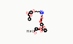 COC(=O)c1cccc(COc2c(-c3ccc(OCCOCCn4cc(CCCCOc5ccc6c(=O)cc(-c7ccccc7)oc6c5)nn4)cc3)oc3ccccc3c2=O)c1